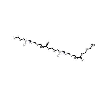 O=C(NCSC/N=C/[S+]([O-])CSCSC(=O)NCSC/N=C/[S+]([O-])CSCO)SCSCO